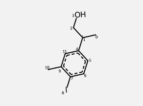 C[C](CO)c1ccc(I)c(C)c1